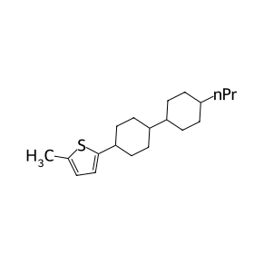 CCCC1CCC(C2CCC(c3ccc(C)s3)CC2)CC1